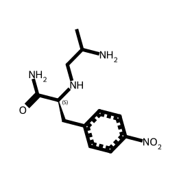 CC(N)CN[C@@H](Cc1ccc([N+](=O)[O-])cc1)C(N)=O